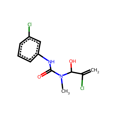 C=C(Cl)C(O)N(C)C(=O)Nc1cccc(Cl)c1